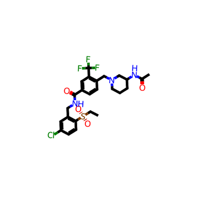 CCS(=O)(=O)c1ccc(Cl)cc1CNC(=O)c1ccc(CN2CCCC(NC(C)=O)C2)c(C(F)(F)F)c1